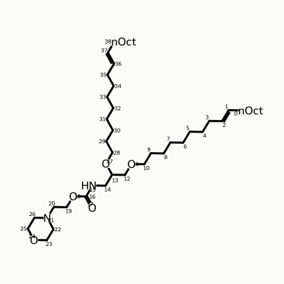 CCCCCCCCC=CCCCCCCCCOCC(CNC(=O)OCCN1CCOCC1)OCCCCCCCCC=CCCCCCCCC